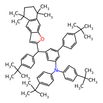 CC(C)(C)c1ccc(-c2cc(C(c3ccc(C(C)(C)C)cc3)c3cc4cc5c(cc4o3)C(C)(C)CCC5(C)C)cc(N(c3ccc(C(C)(C)C)cc3)c3ccc(C(C)(C)C)cc3)c2)cc1